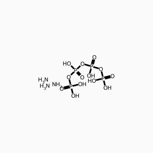 N.N.N.O=P(O)(O)OP(=O)(O)OP(=O)(O)OP(=O)(O)O